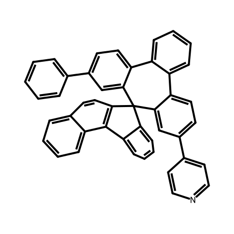 c1ccc(-c2ccc3c(c2)C2(c4cc(-c5ccncc5)ccc4-c4ccccc4-3)c3ccccc3-c3c2ccc2ccccc32)cc1